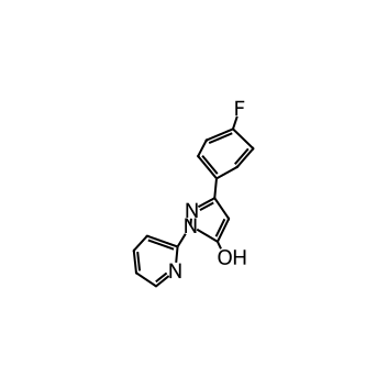 Oc1cc(-c2ccc(F)cc2)nn1-c1ccccn1